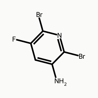 Nc1cc(F)c(Br)nc1Br